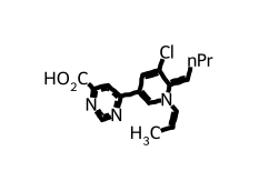 C/C=C\N1C=C(c2cc(C(=O)O)ncn2)C=C(Cl)/C1=C\CCC